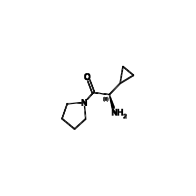 N[C@@H](C(=O)N1CCCC1)C1CC1